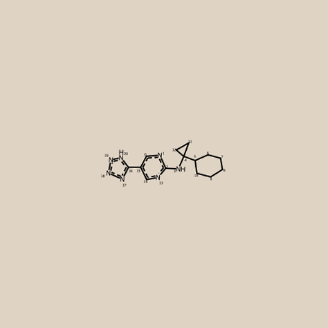 c1nc(NC2(C3CCCCC3)CC2)ncc1-c1nnn[nH]1